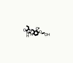 CCC1C(=O)NC2=Nc3ccc(OCCO)c(OC)c3CN21